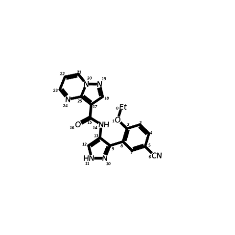 CCOc1ccc(C#N)cc1-c1n[nH]cc1NC(=O)c1cnn2cccnc12